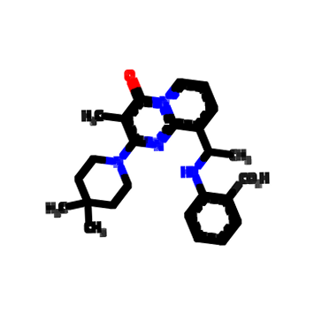 Cc1c(N2CCC(C)(C)CC2)nc2c(C(C)Nc3ccccc3C(=O)O)cccn2c1=O